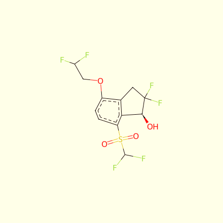 O=S(=O)(c1ccc(OCC(F)F)c2c1[C@H](O)C(F)(F)C2)C(F)F